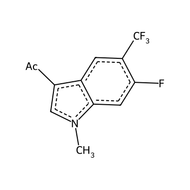 CC(=O)c1cn(C)c2cc(F)c(C(F)(F)F)cc12